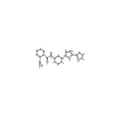 C#Cc1ccccc1C(=O)Nc1cccc(-c2nnc(-c3ccco3)o2)c1